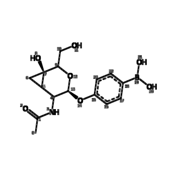 CC(=O)NC1C2C[C@]2(O)C(CO)O[C@H]1Oc1ccc(B(O)O)cc1